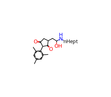 CCCCCCCNC(O)CC1CC(=O)C(c2c(C)cc(C)cc2C)C1=O